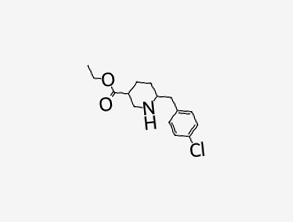 CCOC(=O)C1CCC(Cc2ccc(Cl)cc2)NC1